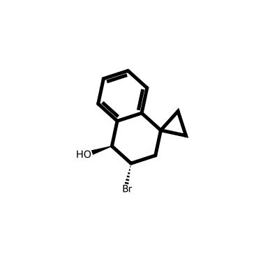 O[C@H]1c2ccccc2C2(CC2)C[C@@H]1Br